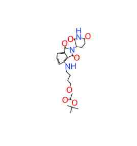 CC(C)(C)OC(=O)COCCCCNc1cccc2c1C(=O)N(C1CCC(=O)NC1=O)C2=O